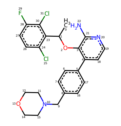 CC(Oc1c(-c2ccc(CN3CCOCC3)cc2)ccnc1N)c1c(Cl)ccc(F)c1Cl